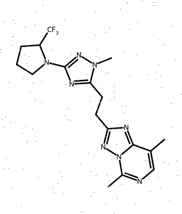 Cc1cnc(C)n2nc(CCc3nc(N4CCCC4C(F)(F)F)nn3C)nc12